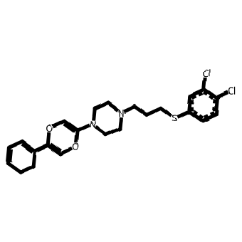 Clc1ccc(SCCCN2CCN(C3=COC(C4=CC=CCC4)=CO3)CC2)cc1Cl